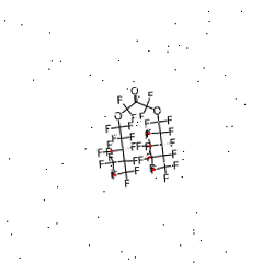 O=C(C(F)(F)OC(F)(F)C(F)(F)[C@](F)(C(F)(F)F)C(F)(C(F)(F)F)C(F)(F)F)C(F)(F)OC(F)(F)C(F)(F)[C@](F)(C(F)(F)F)C(F)(C(F)(F)F)C(F)(F)F